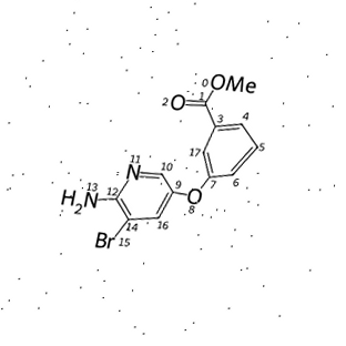 COC(=O)c1cccc(Oc2cnc(N)c(Br)c2)c1